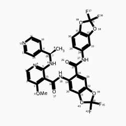 COc1ccnc(N[C@H](C)c2ccncc2)c1C(=O)Nc1cc2c(cc1C(=O)Nc1ccc3c(c1)OC(F)(F)O3)OC(F)(F)O2